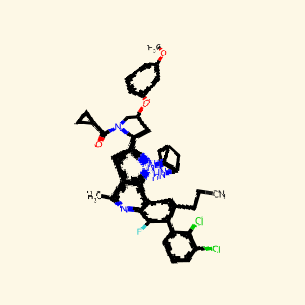 Cc1nc2c(F)c(-c3cccc(Cl)c3Cl)c(CCC#N)cc2c2c1cc(C1CC(Oc3cccc(OC(F)(F)F)c3)CN1C(=O)C1CC1)n2C1C2CNC1C2